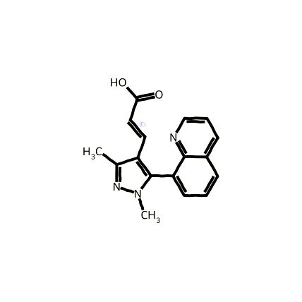 Cc1nn(C)c(-c2cccc3cccnc23)c1/C=C/C(=O)O